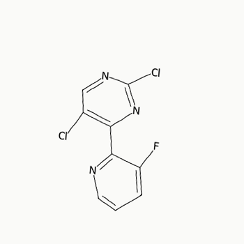 Fc1cccnc1-c1nc(Cl)ncc1Cl